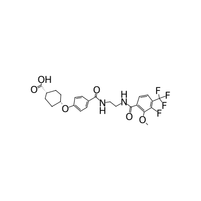 COc1c(C(=O)NCCNC(=O)c2ccc(O[C@H]3CC[C@@H](C(=O)O)CC3)cc2)ccc(C(F)(F)F)c1F